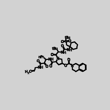 C=CCNC(=O)C(=O)C(CCC)NC(=O)C1CC(OC(=O)N2CCc3ccccc3C2)CN1C(=O)C(NC(=O)NC1(CS(=O)(=O)C(C)(C)C)CCCCC1)C(C)(C)C